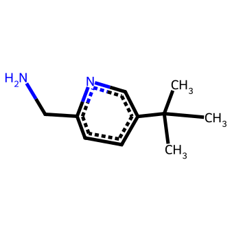 CC(C)(C)c1ccc(CN)nc1